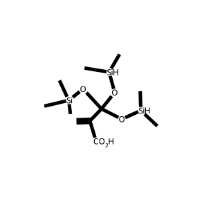 C=C(C(=O)O)C(O[SiH](C)C)(O[SiH](C)C)O[Si](C)(C)C